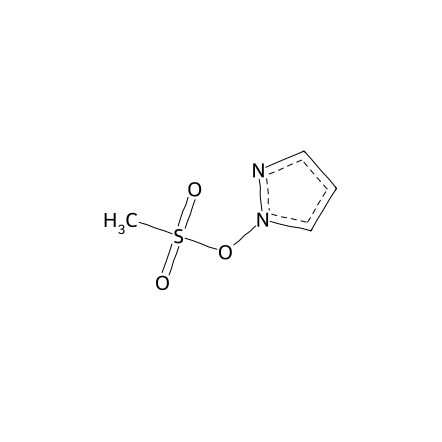 CS(=O)(=O)On1cccn1